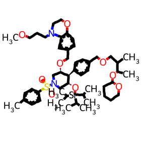 COCCCN1CCOc2ccc(CO[C@H]3CN(S(=O)(=O)c4ccc(C)cc4)C[C@@H](O[Si](C(C)C)(C(C)C)C(C)C)[C@@H]3c3ccc(COCC(C)C(C)OC4CCCCO4)cc3)cc21